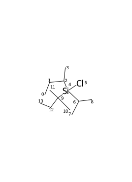 CCC(C)[Si](Cl)(C(C)C)C(C)(C)CC